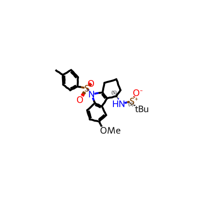 COc1ccc2c(c1)c1c(n2S(=O)(=O)c2ccc(C)cc2)CCC[C@@H]1N[S@+]([O-])C(C)(C)C